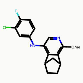 COc1ncc(Nc2ccc(F)c(Cl)c2)c2c1C1CCC2C1